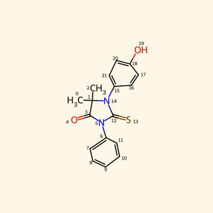 CC1(C)C(=O)N(c2ccccc2)C(=S)N1c1ccc(O)cc1